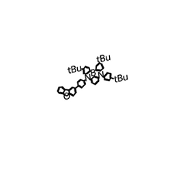 CC(C)(C)c1ccc(N2c3ccc(C(C)(C)C)cc3B3c4ccc(C(C)(C)C)cc4N(c4ccc(-c5ccc6oc7ccccc7c6c5)cc4)c4cccc2c43)cc1